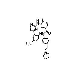 Cc1ccc(C(=O)Nc2ccc(CCN3CCCC3)cc2)cc1Nc1nccc(-c2cccc(C(F)(F)F)c2)n1